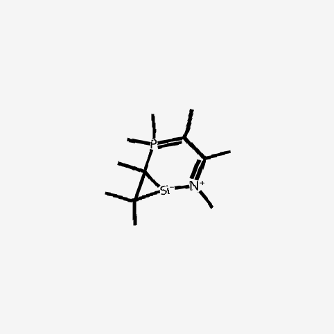 CC1=[N+](C)[Si-]2C(C)(C)C2(C)P(C)(C)=C1C